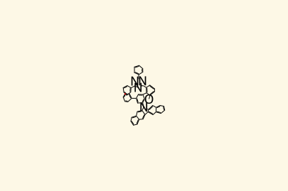 c1ccc(-c2cc(-n3c4cc5ccccc5cc4c4cc5ccccc5cc43)c3oc4cccc(-c5nc(-c6ccccc6)nc(-c6ccccc6)n5)c4c3c2)cc1